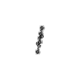 C(=C\c1ccc2c(c1)oc1cc(-c3ccc4c(c3)oc3cc(/C=C/c5ccccc5)ccc34)ccc12)/c1ccccc1